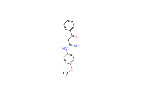 COc1ccc(NC(=N)CC(=O)c2ccccc2)cc1